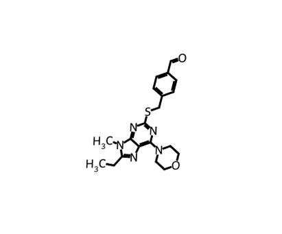 CCc1nc2c(N3CCOCC3)nc(SCc3ccc(C=O)cc3)nc2n1C